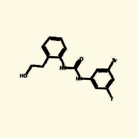 O=C(Nc1cc(F)cc(Br)c1)Nc1ccccc1CCO